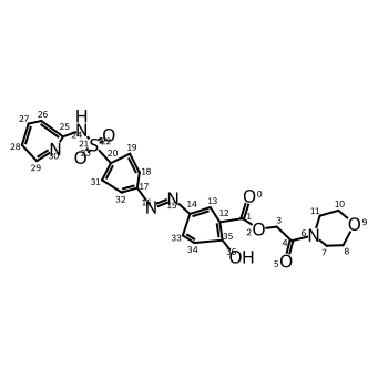 O=C(OCC(=O)N1CCOCC1)c1cc(/N=N/c2ccc(S(=O)(=O)Nc3ccccn3)cc2)ccc1O